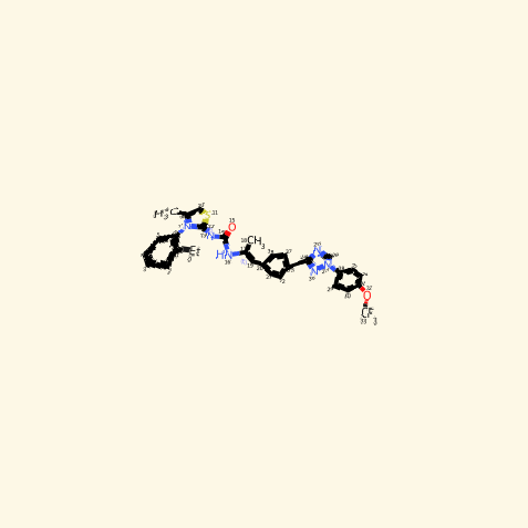 CCc1ccccc1-n1c(C)cs/c1=N\C(=O)N/C(C)=C/c1ccc(-c2ncn(-c3ccc(OC(F)(F)F)cc3)n2)cc1